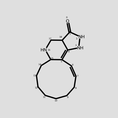 O=C1NNC2=C3C=CCCCCCCCC3NCC12